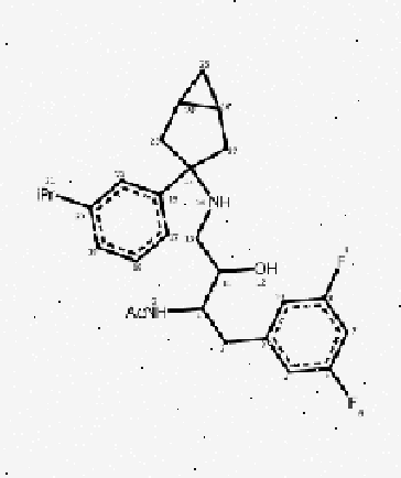 CC(=O)NC(Cc1cc(F)cc(F)c1)C(O)CNC1(c2cccc(C(C)C)c2)CC2CC2C1